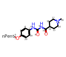 CCCCCOc1ccc(NC(=O)NC(=O)C2CCN(C)CC2)cc1